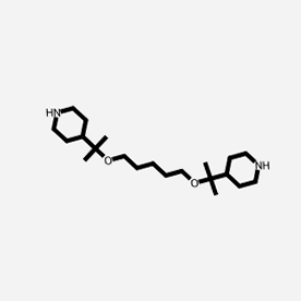 CC(C)(OCCCCCOC(C)(C)C1CCNCC1)C1CCNCC1